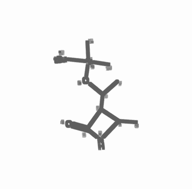 CC1NC(=O)C1C(C)O[Si](C)(C)C(C)(C)C